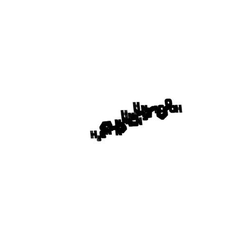 Cc1cccc(-c2nccc(Nc3ccnc(Nc4nc(CN5CCCC(C(=O)O)C5)cs4)n3)n2)n1